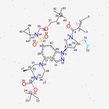 C/C=C(\C)C(=O)N1C[C@H](n2ncc3c(N4C[C@H](C)N(C(=O)OC(C)(C)C)[C@@H](C)C4)cc(S(=O)(=O)N(COCC[Si](C)(C)C)C4(C)CC4)cc32)C[C@H]1CF